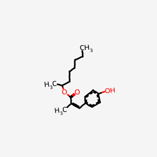 CCCCCCC(C)OC(=O)C(C)=Cc1ccc(O)cc1